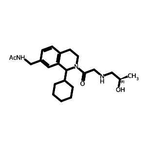 CC(=O)NCc1ccc2c(c1)C(C1CCCCC1)N(C(=O)CNC[C@@H](C)O)CC2